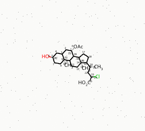 CC(=O)O[C@H]1CC2C[C@H](O)CC[C@]2(C)C2CC[C@@]3(C)C(CCC3[C@H](C)CC(Cl)C(=O)O)C21